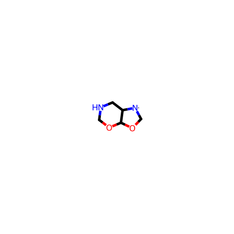 C1[N]C2CNCOC2O1